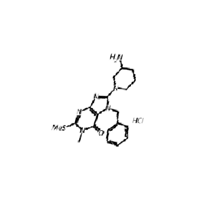 CSc1nc2nc(N3CCCC(N)C3)n(Cc3ccccc3)c2c(=O)n1C.Cl